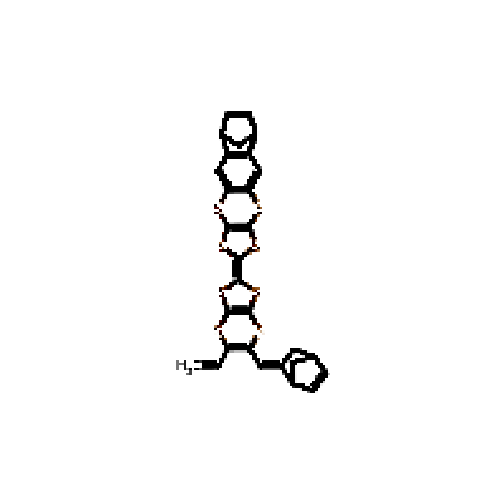 C=CC1=C(/C=C2\CC3C=CC2C3)SC2=C(S1)SC(=C1SC3=C(S1)Sc1cc4c(cc1S3)C1C=CC4C1)S2